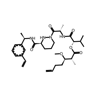 C=CCC[C@@H](OC)[C@@H](C)C(=O)O[C@H](C(=O)N[C@@H](C)C(=O)N1CCC[C@@H](C(=O)N[C@H](C)c2cccc(C=C)c2)N1)C(C)C